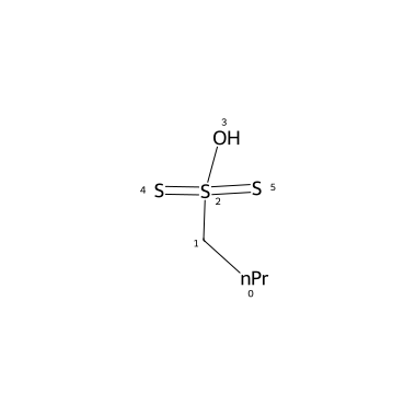 CCCCS(O)(=S)=S